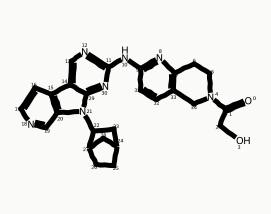 O=C(CO)N1CCc2nc(Nc3ncc4c5ccncc5n(C5CC6CCC5C6)c4n3)ccc2C1